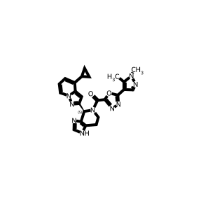 Cc1c(-c2nnc(C(=O)N3CCc4[nH]cnc4[C@H]3c3cc4c(C5CC5)cccn4n3)o2)cnn1C